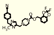 CC1(Cc2ccc(C#N)cc2)N=CC(CN2CCN(C(=O)OCc3cccc4c3OC(F)(F)O4)CC2)=N1